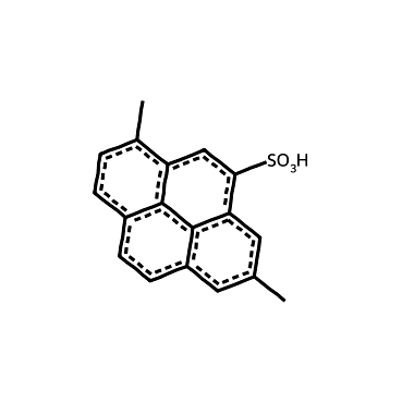 Cc1cc2ccc3ccc(C)c4cc(S(=O)(=O)O)c(c1)c2c34